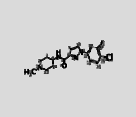 CN1CCC(NC(=O)c2ccn(-c3ccc(Cl)c(F)c3)n2)CC1